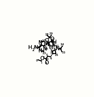 CCOC(=O)CC[C@H]1C[C@@H](N(C[C@H]2OC[C@@]3(n4cnc5c(N)ncnc54)OC(C)(C)O[C@H]23)C(C)C)C1